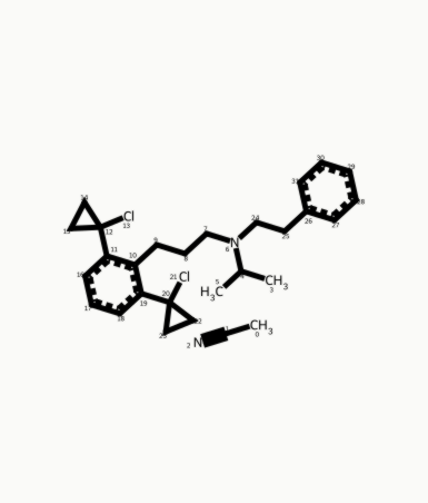 CC#N.CC(C)N(CCCc1c(C2(Cl)CC2)cccc1C1(Cl)CC1)CCc1ccccc1